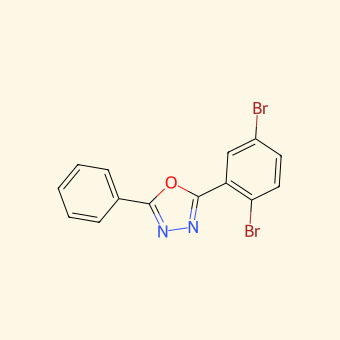 Brc1ccc(Br)c(-c2nnc(-c3ccccc3)o2)c1